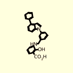 O=C(O)c1cccc(NCc2cccc(-n3ccc4c(-c5ccccc5)cccc43)c2)c1O